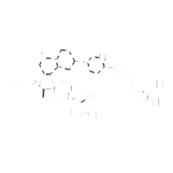 CBC(=O)N1CCC2(CC1)C(=O)N(C)c1cnc3ccc(-c4ccc(OCCCN(C)C)nc4)cc3c12